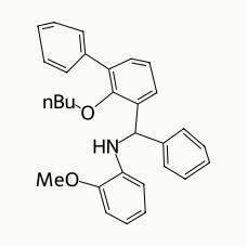 CCCCOc1c(-c2ccccc2)cccc1C(Nc1ccccc1OC)c1ccccc1